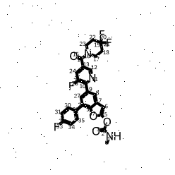 CNC(=O)Oc1cc2cc(-c3ncc(C(=O)N4CCC(F)(F)CC4)cc3F)cc(-c3ccc(F)cc3)c2o1